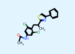 CC(=O)Nc1cc(Cl)c(CC(C)c2nc(-c3ccccc3)cs2)c(Cl)c1